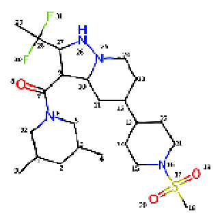 CC1CC(C)CN(C(=O)C2C3CC(C4CCN(S(C)(=O)=O)CC4)CCN3NC2C(C)(F)F)C1